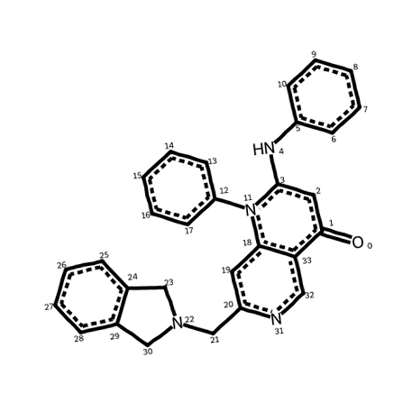 O=c1cc(Nc2ccccc2)n(-c2ccccc2)c2cc(CN3Cc4ccccc4C3)ncc12